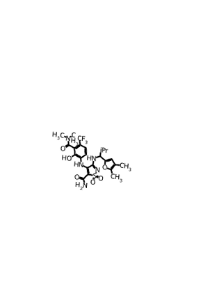 Cc1cc(C(NC2=NS(=O)(=O)C(C(N)=O)=C2Nc2ccc(C(F)(F)F)c(C(=O)N(C)C)c2O)C(C)C)oc1C